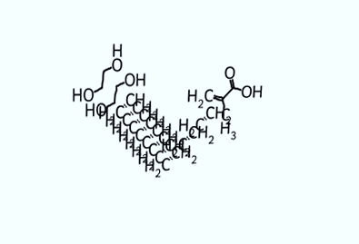 C=C.C=C.C=C.C=C.C=C.C=C.C=C.C=C.C=C.C=C.C=C(C)C(=O)O.OCCO.OCCO